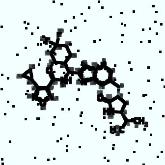 CC(C)[C@@H]1C[C@@H](Cc2cnn3cc([C@@H](NC(=O)c4nonc4C4CC4)C4CCC(F)(F)CC4)nc3c2)C(=O)N1